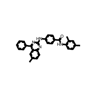 Cc1ccc(NC(=O)c2ccc(Nc3nc(-c4ccccc4)c4cc(C)ccc4n3)cc2)c(C)c1